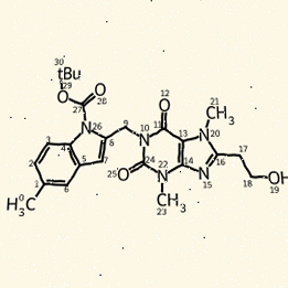 Cc1ccc2c(c1)cc(Cn1c(=O)c3c(nc(CCO)n3C)n(C)c1=O)n2C(=O)OC(C)(C)C